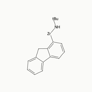 CC(C)(C)[NH][Zr][c]1cccc2c1Cc1ccccc1-2